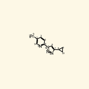 CC(C)c1ccc(-n2cc(C3CC3)nn2)nc1